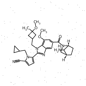 COc1cc(C(=O)N2C[C@H]3CC[C@@H]2[C@@H]3N)cc2nc(-c3ccc(C#N)n3CC3CC3)n(CC3CC(C)(OC)C3)c12